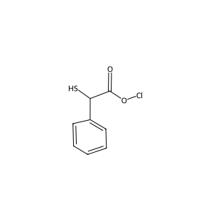 O=C(OCl)C(S)c1ccccc1